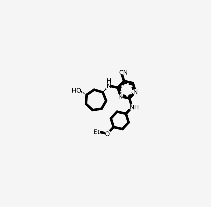 CCOC1CCC(Nc2ncc(C#N)c(N[C@@H]3CCCC[C@H](O)C3)n2)CC1